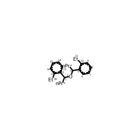 CCCC(OC(CCC)c1ccccc1CC)c1ccccc1CC